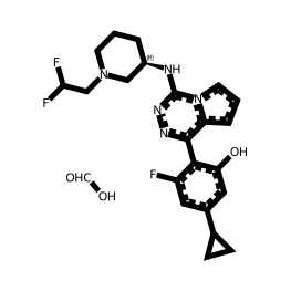 O=CO.Oc1cc(C2CC2)cc(F)c1-c1nnc(N[C@@H]2CCCN(CC(F)F)C2)n2cccc12